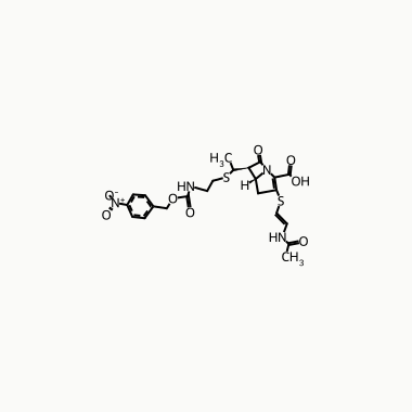 CC(=O)NC=CSC1=C(C(=O)O)N2C(=O)[C@H](C(C)SCCNC(=O)OCc3ccc([N+](=O)[O-])cc3)[C@H]2C1